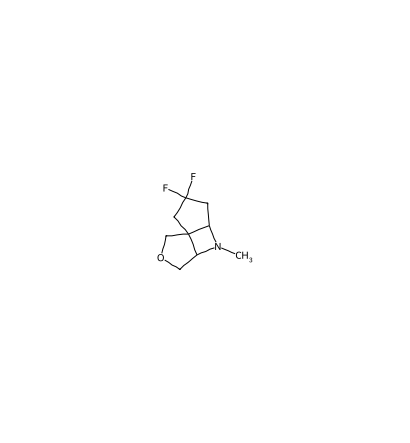 CN1C2COCC23CC(F)(F)CC13